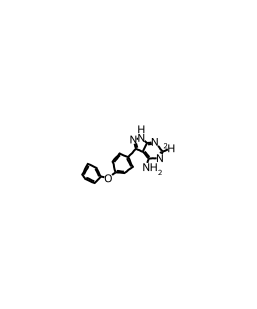 [2H]c1nc(N)c2c(-c3ccc(Oc4ccccc4)cc3)n[nH]c2n1